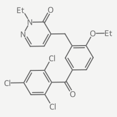 CCOc1ccc(C(=O)c2c(Cl)cc(Cl)cc2Cl)cc1Cc1ccnn(CC)c1=O